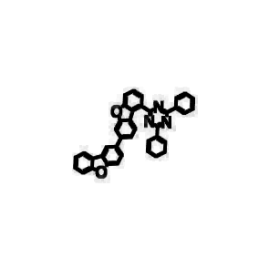 C1=CC(c2nc(-c3ccccc3)nc(-c3cccc4oc5cc(-c6ccc7oc8ccccc8c7c6)ccc5c34)n2)=CCC1